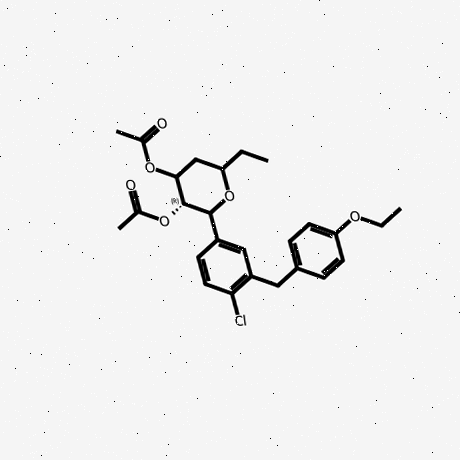 CCOc1ccc(Cc2cc(C3OC(CC)CC(OC(C)=O)[C@H]3OC(C)=O)ccc2Cl)cc1